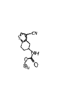 CC(C)(C)OC(=O)NC1CCc2scc(C#N)c2C1